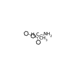 CC(C)(CCN)C(c1ccccc1)c1ccc(-c2ccccc2)cc1